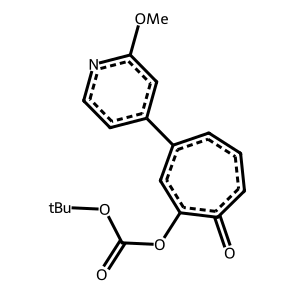 COc1cc(-c2cccc(=O)c(OC(=O)OC(C)(C)C)c2)ccn1